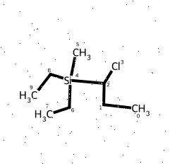 CCC(Cl)[Si](C)(CC)CC